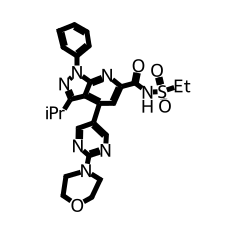 CCS(=O)(=O)NC(=O)c1cc(-c2cnc(N3CCOCC3)nc2)c2c(C(C)C)nn(-c3ccccc3)c2n1